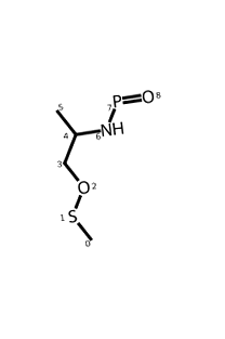 CSOCC(C)NP=O